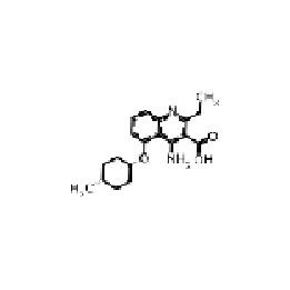 CCc1nc2cccc(O[C@H]3CC[C@@H](C)CC3)c2c(N)c1C(=O)O